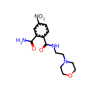 NC(=O)c1cc([N+](=O)[O-])ccc1C(=O)NCCN1CCOCC1